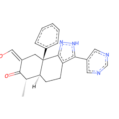 C[C@@H]1C(=O)C(=CO)C[C@]2(c3ccccc3)c3n[nH]c(-c4cncnc4)c3CC[C@@H]12